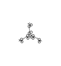 C=C(C)C(=O)OCCCCC(=O)O[C@H]1CC(OC(=O)CCCCOC(=O)CC)OC[C@H]1OC(=O)CCCCOC(=O)C(=C)C